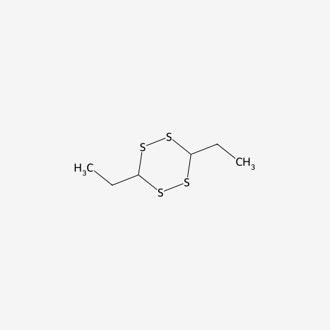 CCC1SSC(CC)SS1